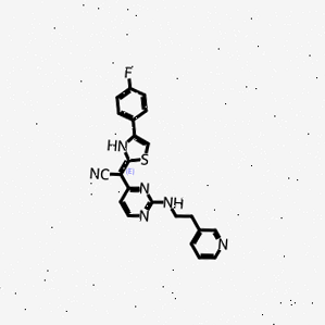 N#C/C(=C1\NC(c2ccc(F)cc2)=CS1)c1ccnc(NCCc2cccnc2)n1